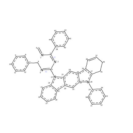 C=N/C(=N\C(=N/Cc1ccccc1)n1c2ccccc2c2cc3c(cc21)c1c(n3-c2ccccc2)CCC=C1)c1ccccc1